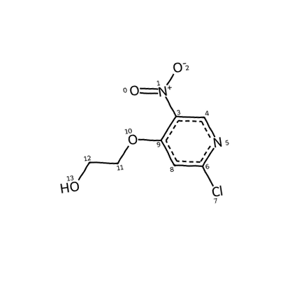 O=[N+]([O-])c1cnc(Cl)cc1OCCO